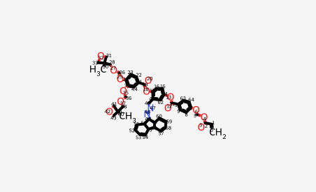 C=CC(=O)OCOc1ccc(C(=O)Oc2ccc(OC(=O)c3ccc(OCOCC4(C)COC4)c(OCOCC4(C)COC4)c3)c(/C=N/N=C3C4C=CC=CC4C4C=CC=CC34)c2)cc1